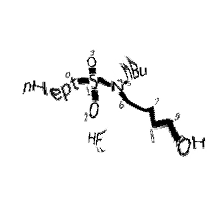 CCCCCCCS(=O)(=O)N(CCCC)CCCCO.F